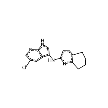 Clc1cnc2[nH]cc(Nc3ccc4c(n3)CCCC4)c2c1